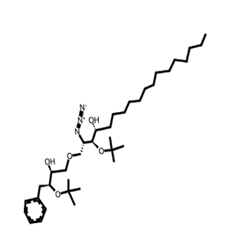 CCCCCCCCCCCCCC[C@@H](O)[C@@H](OC(C)(C)C)[C@H](COC[C@H](O)[C@H](Cc1ccccc1)OC(C)(C)C)N=[N+]=[N-]